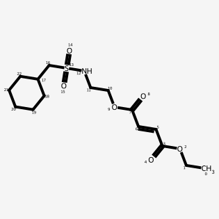 CCOC(=O)/C=C/C(=O)OCCNS(=O)(=O)CC1CCCCC1